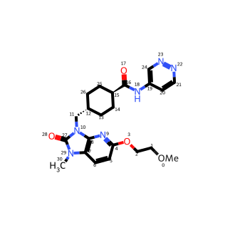 COCCOc1ccc2c(n1)n(C[C@H]1CC[C@H](C(=O)Nc3ccnnc3)CC1)c(=O)n2C